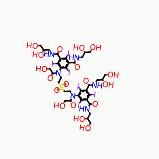 O=C(NCC(O)CO)c1c(I)c(C(=O)NCC(O)CO)c(I)c(N(CCS(=O)(=O)CCN(C(=O)CO)c2c(I)c(C(=O)NCC(O)CO)c(I)c(C(=O)NCC(O)CO)c2I)C(=O)CO)c1I